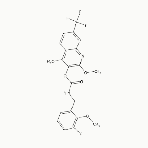 COc1nc2cc(C(F)(F)F)ccc2c(C)c1OC(=O)NCc1cccc(F)c1OC